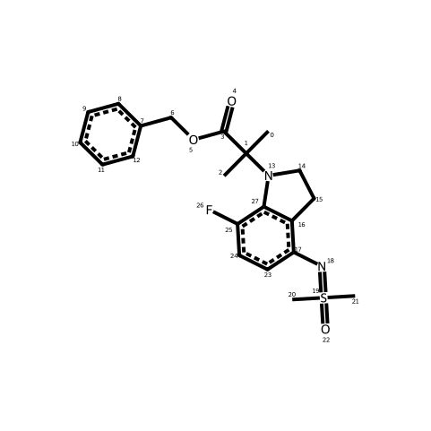 CC(C)(C(=O)OCc1ccccc1)N1CCc2c(N=S(C)(C)=O)ccc(F)c21